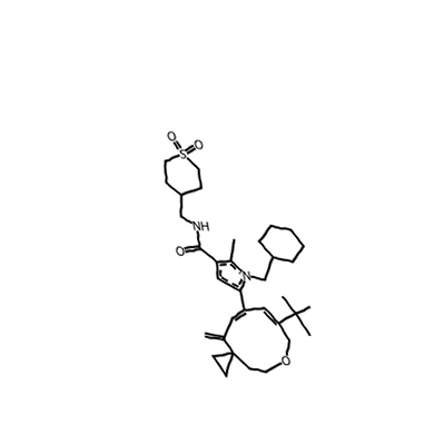 C=C1/C=C(c2cc(C(=O)NCC3CCS(=O)(=O)CC3)c(C)n2CC2CCCCC2)\C=C(\C(C)(C)C)COCCC12CC2